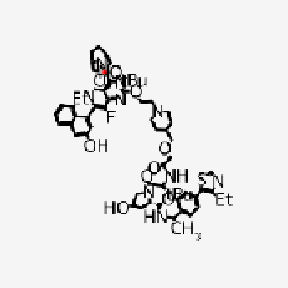 CCc1ncsc1-c1ccc(C(C)NC(=O)[C@@H]2C[C@@H](O)CN2C(=O)C(NC(=O)COCC2CCN(CCOc3nc(N4CC5CCC(C4)N5C(=O)OC(C)(C)C)c4cnc(-c5cc(O)cc6cccc(CC)c56)c(F)c4n3)CC2)C(C)(C)C)cc1